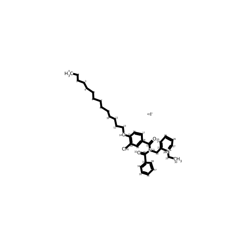 CCCCCCCCCCCCCCOc1ccc(C(=O)N(Cc2cccc[n+]2CC)C(=O)c2ccccc2)cc1Cl.[I-]